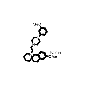 COc1cccc(N2CCN(CCN3CCCCC34CCc3cc(OC)ccc3C4)CC2)c1.Cl.Cl